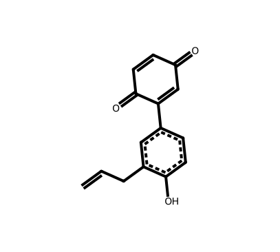 C=CCc1cc(C2=CC(=O)C=CC2=O)ccc1O